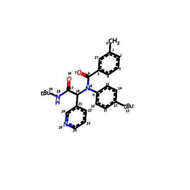 Cc1cccc(C(=O)N(c2ccc(C(C)(C)C)cc2)C(C(=O)NC(C)(C)C)c2cccnc2)c1